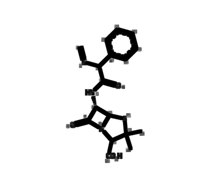 C=NC(C(=O)N[C@H]1C(=O)N2C1SC(C)(C)C2C(=O)O)c1ccccc1